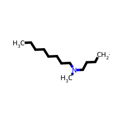 [CH2]CCCN(C)CCCCCCCC